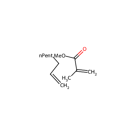 C=C(C)C(=O)OC.C=CCCCCCC